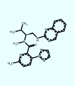 Cc1ccc(-n2nccn2)c(C(=O)N(C)[C@H](CNc2ncc3ccccc3n2)C(C)C)n1